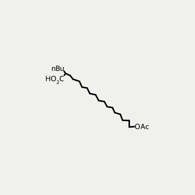 CCCCC(CCCCCCCCCCCCCCCCOC(C)=O)C(=O)O